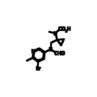 Cc1ncc(N(C=O)CC2(N(C)C(=O)O)CC2)cc1Br